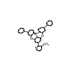 Cc1cccnc1-c1cc2c3c(c1)Oc1cc(-c4ccccc4)ccc1P3(=S)c1ccc(-c3ccccc3)cc1O2